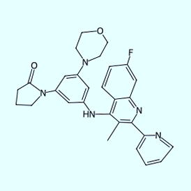 Cc1c(-c2ccccn2)nc2cc(F)ccc2c1Nc1cc(N2CCOCC2)cc(N2CCCC2=O)c1